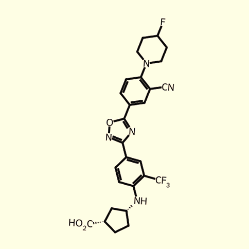 N#Cc1cc(-c2nc(-c3ccc(N[C@@H]4CC[C@H](C(=O)O)C4)c(C(F)(F)F)c3)no2)ccc1N1CCC(F)CC1